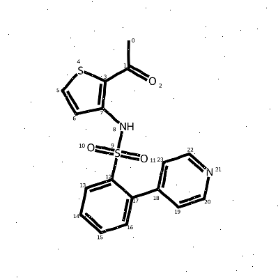 CC(=O)c1sccc1NS(=O)(=O)c1ccccc1-c1ccncc1